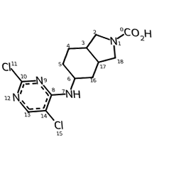 O=C(O)N1CC2CCC(Nc3nc(Cl)ncc3Cl)CC2C1